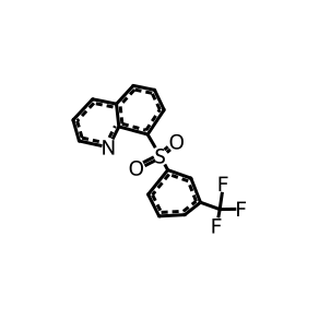 O=S(=O)(c1cccc(C(F)(F)F)c1)c1cccc2cccnc12